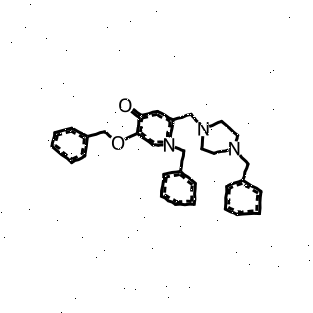 O=c1cc(CN2CCN(Cc3ccccc3)CC2)n(Cc2ccccc2)cc1OCc1ccccc1